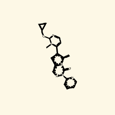 Cc1c(C2=CC=NC(OC3CC3)N2C)cc2cnn(-c3ccccn3)c(=O)n12